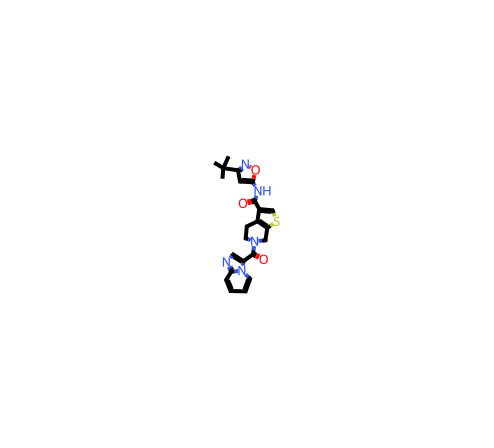 CC(C)(C)c1cc(NC(=O)c2csc3c2CCN(C(=O)c2cnc4ccccn24)C3)on1